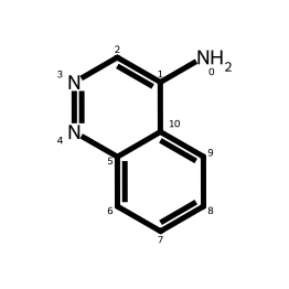 Nc1cnnc2ccccc12